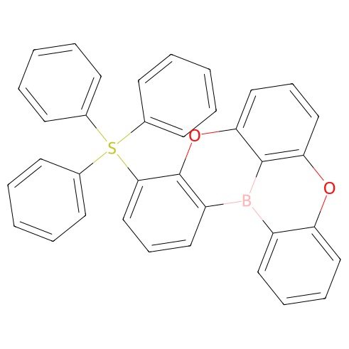 c1ccc(S(c2ccccc2)(c2ccccc2)c2cccc3c2Oc2cccc4c2B3c2ccccc2O4)cc1